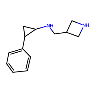 c1ccc(C2CC2NCC2CNC2)cc1